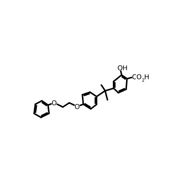 CC(C)(c1ccc(OCCOc2ccccc2)cc1)c1ccc(C(=O)O)c(O)c1